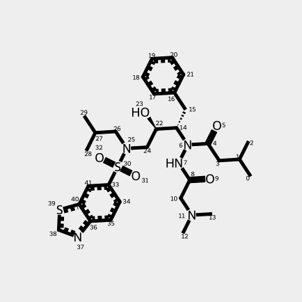 CC(C)CC(=O)N(NC(=O)CN(C)C)[C@@H](Cc1ccccc1)[C@H](O)CN(CC(C)C)S(=O)(=O)c1ccc2ncsc2c1